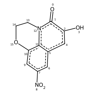 O=c1c(O)cc2cc([N+](=O)[O-])cc3c2n1CCO3